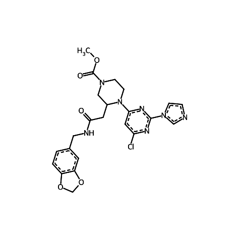 COC(=O)N1CCN(c2cc(Cl)nc(-n3ccnc3)n2)C(CC(=O)NCc2ccc3c(c2)OCO3)C1